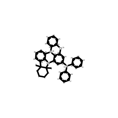 CC12CCCCC1(C)N1c3cc(N(c4ccccc4)c4ccccc4)cc4c3N(c3ccccc3O4)c3cccc2c31